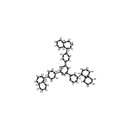 c1cc(-c2cc(-c3ccc(-c4cncc5ccccc45)cc3)nc(-c3ccc(-c4cccc5ccccc45)cc3)n2)cc(-c2cccc3ccccc23)c1